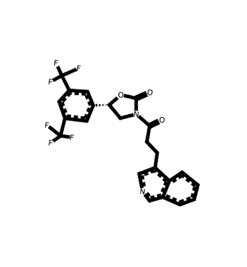 O=C(CCc1cncc2ccccc12)N1C[C@H](c2cc(C(F)(F)F)cc(C(F)(F)F)c2)OC1=O